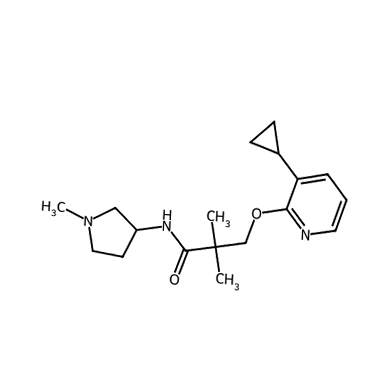 CN1CCC(NC(=O)C(C)(C)COc2ncccc2C2CC2)C1